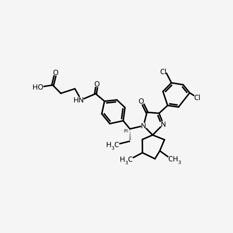 CC[C@H](c1ccc(C(=O)NCCC(=O)O)cc1)N1C(=O)C(c2cc(Cl)cc(Cl)c2)=NC12CC(C)CC(C)C2